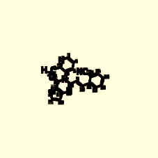 Cc1ncccc1-n1c(C=Cc2ccccc2C#N)nc2ccsc2c1=O